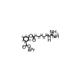 CCCOC(=O)c1cccc(OC(=O)CCCCCNC(=N)N)c1